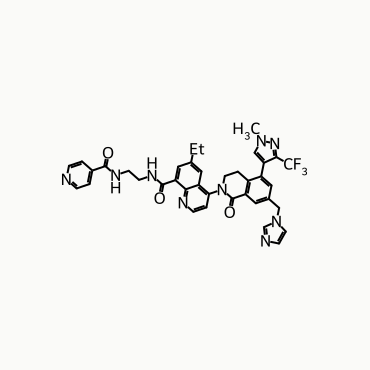 CCc1cc(C(=O)NCCNC(=O)c2ccncc2)c2nccc(N3CCc4c(cc(Cn5ccnc5)cc4-c4cn(C)nc4C(F)(F)F)C3=O)c2c1